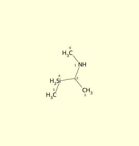 CN[C](C)[SiH2]C